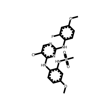 COc1ccc(Nc2ncc(Cl)c(Nc3ccc(OC)cc3NS(C)(=O)=O)n2)c(F)c1